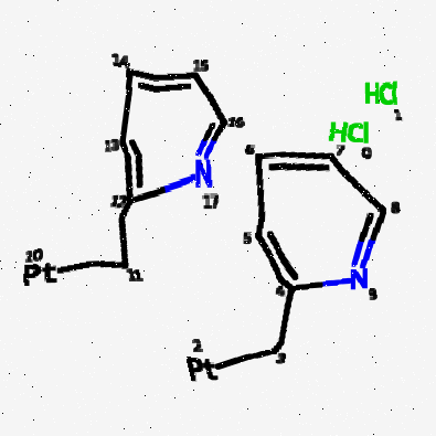 Cl.Cl.[Pt][CH2]c1ccccn1.[Pt][CH2]c1ccccn1